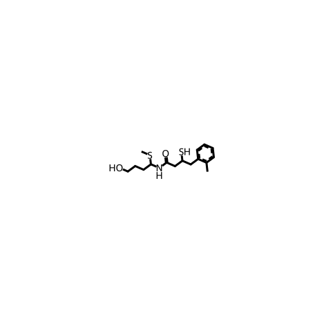 CSC(CCCO)NC(=O)CC(S)Cc1ccccc1C